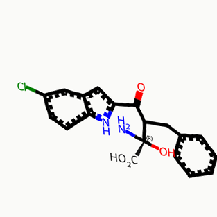 N[C@](O)(C(=O)O)C(Cc1ccccc1)C(=O)c1cc2cc(Cl)ccc2[nH]1